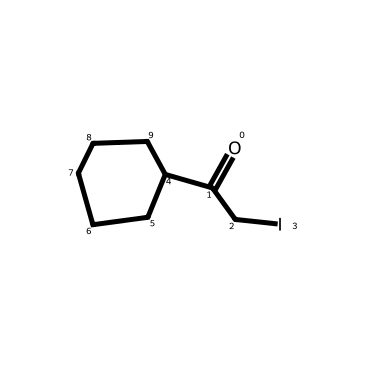 O=C(CI)C1CCCCC1